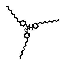 CCCCCCCCCc1ccc(OP(Oc2ccc(CCCCCCCCC)cc2)Oc2ccc(CCCCCCCCC)cc2)cc1